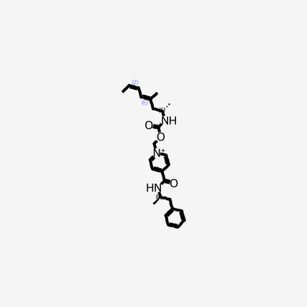 C/C=C\C=C(/C)C[C@H](C)NC(=O)OC[n+]1ccc(C(=O)N[C@H](C)Cc2ccccc2)cc1